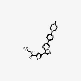 CN1CCN(c2ccc(-c3cnc4c(-c5csc(C(=O)NCC(F)(F)F)c5)cnn4c3)cn2)CC1